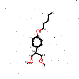 CCCCCOc1ccc(C(COC)COC)cc1